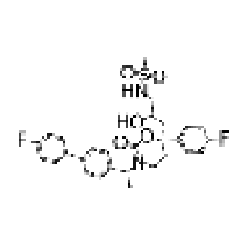 C[C@@H](c1ccc(-c2ccc(F)cc2)cc1)N1CC[C@](CC(O)CNS(C)(=O)=O)(c2ccc(F)cc2)OC1=O